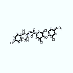 O=[N+]([O-])c1ccc(Oc2c(Cl)cc(S(=O)(=O)/N=C(\NO)Nc3ccc(Cl)cc3)cc2Cl)c(Cl)c1